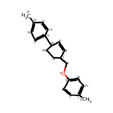 Cc1ccc(OCC2C=CC(c3ccc(C)cc3)CC2)cc1